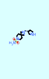 NS(=O)(=O)N1CCC2(CC1)CN(C[C@@H]1CCNC1)C2